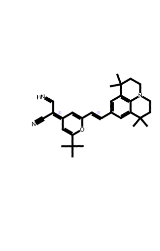 CC(C)(C)C1=C/C(=C(\C#N)C=N)C=C(/C=C/c2cc3c4c(c2)C(C)(C)CCN4CCC3(C)C)O1